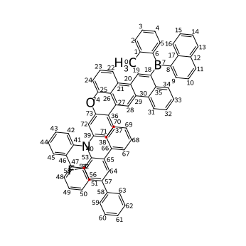 Cc1ccccc1B(c1cccc2ccccc12)c1cc2c3cccc4c3c(cc2c2ccccc12)-c1ccc(N(c2ccccc2-c2ccccc2)c2c(F)cc(-c3ccccc3)cc2-c2ccccc2)cc1O4